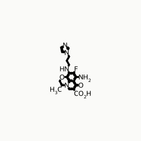 C[C@H]1COc2c(NCCCn3ccnc3)c(F)c(N)c3c(=O)c(C(=O)O)cn1c23